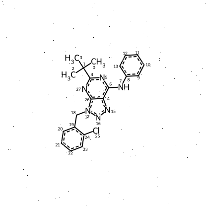 CC(C)(C)c1nc(Nc2ccccc2)c2nnn(Cc3ccccc3Cl)c2n1